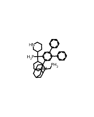 PCC1C2CC3CC(C2)CC1(c1cc(-c2ccccc2)c(-c2ccccc2)cc1C(P)(C1CCCNC1)C1CCCNC1)C3